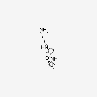 Cc1nc(NC(=O)c2cccc(NCCCCCCN)c2C)sc1C